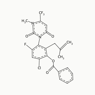 C=C(C)Cc1c(OC(=O)c2ccccc2)c(Cl)cc(F)c1-n1c(=O)cc(C(F)(F)F)n(C)c1=O